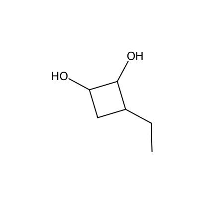 CCC1CC(O)C1O